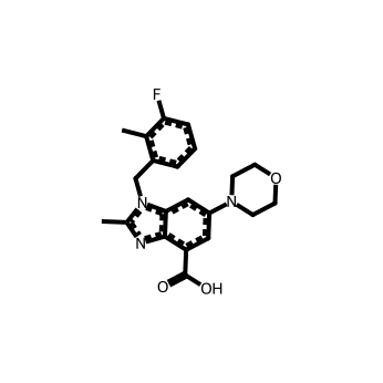 Cc1c(F)cccc1Cn1c(C)nc2c(C(=O)O)cc(N3CCOCC3)cc21